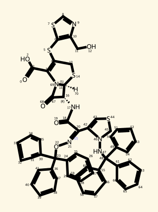 O=C(O)C1=C(Sc2scnc2CO)CS[C@H]2[C@H](NC(=O)/C(=N\OC(c3ccccc3)(c3ccccc3)c3ccccc3)C3=CSCN3NC(c3ccccc3)(c3ccccc3)c3ccccc3)C(=O)N12